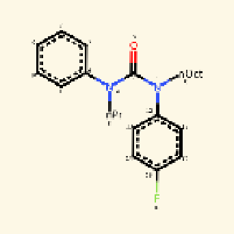 CCCCCCCCN(C(=O)N(CCC)c1ccccc1)c1ccc(F)cc1